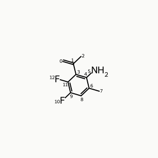 C=C(C)c1c(N)c(C)cc(F)c1F